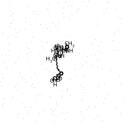 Cc1ccc2[nH]nc(C(=O)N3CC[C@H]4CC[C@@H](C(=O)N(C)CCCCCCC#Cc5cccc6c5CN(C5CCC(=O)NC5=O)C6=O)N4C(=O)[C@@H](NC(=O)OC(C)(C)C)C3)c2c1